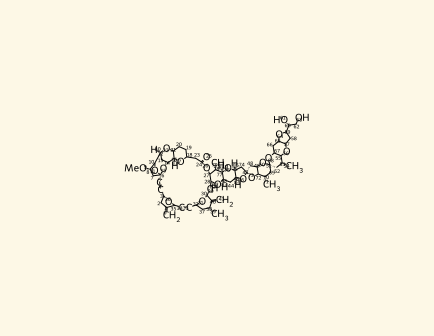 C=C1CC2CC[C@]34C[C@@H](OC)C(O3)[C@H]3CC(O4)[C@H]4OC(CCC4O3)CC(=O)OC3[C@H](CC4OC(CCC1O2)C[C@@H](C)C4=C)O[C@H]1C[C@H]2O[C@@]4(CC5O[C@]6(C[C@H](C)C7OC8CC(C(O)CO)OC8CC7O6)C[C@H](C)C5O4)C[C@H]2O[C@H]1[C@@H]3C